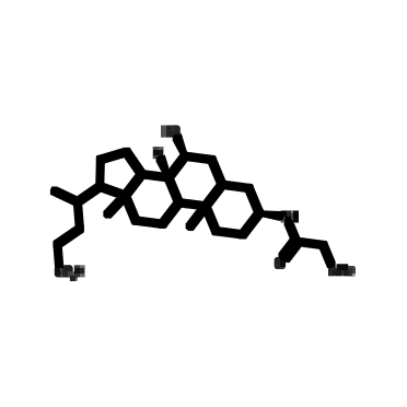 CNCC(=O)N[C@H]1CCC2(C)C(C1)C[C@H](O)[C@@H]1C2CCC2(C)C(C(C)CCC(=O)O)CCC12